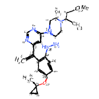 C=C(c1cc(N2CCN(C(C)COC)[C@@H](C)C2)ncn1)c1cc(OC2(C)CC2)ccc1NN